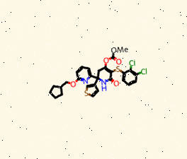 COC(=O)OC1=C(Sc2cccc(Cl)c2Cl)C(=O)NC(c2ccsc2)(c2cccc(OCC3CCCC3)n2)C1